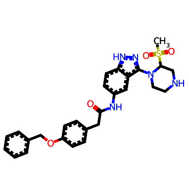 CS(=O)(=O)C1CNCCN1c1n[nH]c2ccc(NC(=O)Cc3ccc(OCc4ccccc4)cc3)cc12